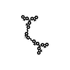 CC1(C)c2ccccc2-c2ccc(N(c3ccc4c(c3)C(C)(C)c3ccccc3-4)c3ccc4c(c3)C(C)(C)c3cc(/C=C/c5ccc6sc7ccc(/C=C/c8ccc9c(c8)C(C)(C)c8cc(N(c%10ccc%11c(c%10)C(C)(C)c%10ccccc%10-%11)c%10ccc%11c(c%10)C(C)(C)c%10ccccc%10-%11)ccc8-9)cc7c6c5)ccc3-4)cc21